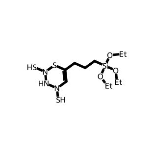 CCO[Si](CCCc1cn(S)[nH]n(S)s1)(OCC)OCC